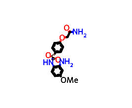 COc1ccc(NS(=O)(=O)c2ccc(OCC(N)=O)cc2)c(N)c1